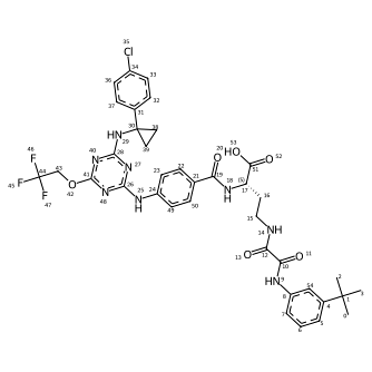 CC(C)(C)c1cccc(NC(=O)C(=O)NCC[C@H](NC(=O)c2ccc(Nc3nc(NC4(c5ccc(Cl)cc5)CC4)nc(OCC(F)(F)F)n3)cc2)C(=O)O)c1